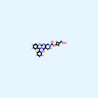 Cc1nc2c(c(=O)n1C(c1ccccc1)c1ccccc1)CCN(C(=O)OC1CC(CO)C1)C2